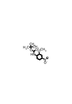 COc1cc([N+](=O)[O-])ccc1NC(=O)OC(C)(C)C